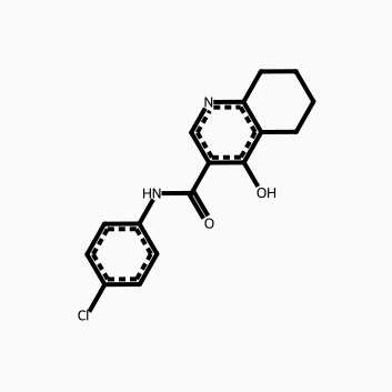 O=C(Nc1ccc(Cl)cc1)c1cnc2c(c1O)CCCC2